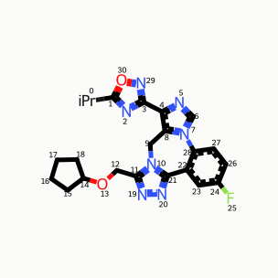 CC(C)c1nc(-c2ncn3c2Cn2c(COC4CCCC4)nnc2-c2cc(F)ccc2-3)no1